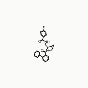 O=C(NCC1C2CC2CN1C(=O)c1ccccc1-c1ccccc1)c1ccc(F)cc1